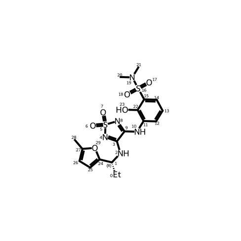 CC[C@@H](NC1=NS(=O)(=O)N=C1Nc1cccc(S(=O)(=O)N(C)C)c1O)c1ccc(C)o1